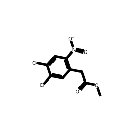 COC(=O)Cc1cc(Cl)c(Cl)cc1[N+](=O)[O-]